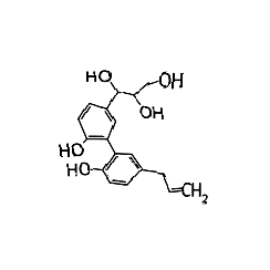 C=CCc1ccc(O)c(-c2cc(C(O)C(O)CO)ccc2O)c1